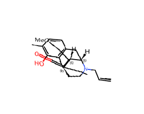 C=CCN1CC[C@@]23CC(=O)C(OC)C[C@@H]2[C@@H]1Cc1ccc(C)c(O)c13